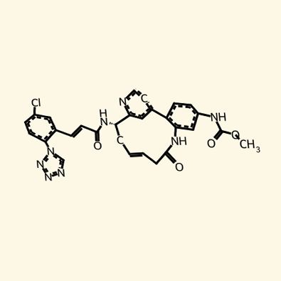 COC(=O)Nc1ccc2c(c1)NC(=O)C/C=C/C[C@H](NC(=O)/C=C/c1cc(Cl)ccc1-n1cnnn1)c1cc-2ccn1